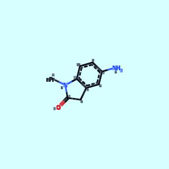 CCCN1C(=O)Cc2cc(N)ccc21